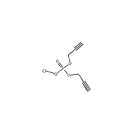 C#CCOP(=O)(OCl)OCC#C